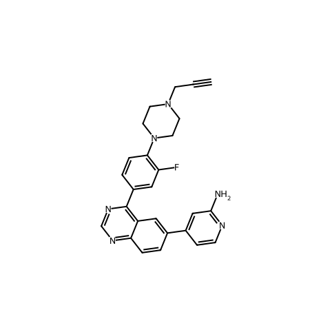 C#CCN1CCN(c2ccc(-c3ncnc4ccc(-c5ccnc(N)c5)cc34)cc2F)CC1